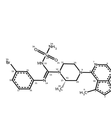 Cc1c[nH]c2ncnc(N3CCN(C(=Nc4cccc(Br)c4)NS(N)(=O)=O)[C@@H](C)C3)c12